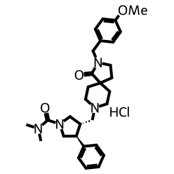 COc1ccc(CN2CCC3(CCN(C[C@H]4CN(C(=O)N(C)C)C[C@@H]4c4ccccc4)CC3)C2=O)cc1.Cl